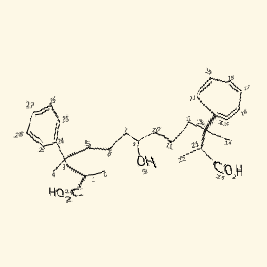 CC(C(=O)O)C(C)(CCCC(O)CCCC(C)(c1ccccc1)C(C)C(=O)O)c1ccccc1